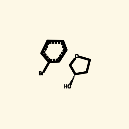 Brc1ccccc1.O[C@H]1CCOC1